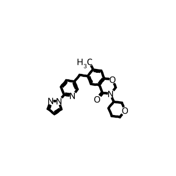 Cc1cc2c(cc1Cc1ccc(-n3cccn3)nc1)C(=O)N(C1CCCOC1)CO2